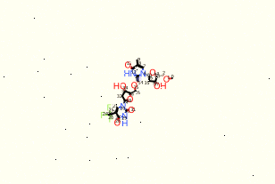 COC[C@H]1O[C@@H](N2C=C(C)C(=O)N/C2=C\OC[C@H]2O[C@@H](n3cc(C(F)(F)F)c(=O)[nH]c3=O)CC2O)CC1O